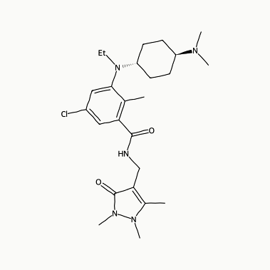 CCN(c1cc(Cl)cc(C(=O)NCc2c(C)n(C)n(C)c2=O)c1C)[C@H]1CC[C@H](N(C)C)CC1